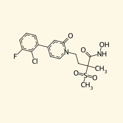 CC(CCn1ccc(-c2cccc(F)c2Cl)cc1=O)(C(=O)NO)S(C)(=O)=O